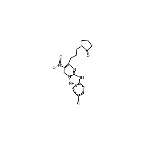 NN1CC([N+](=O)[O-])=C(CCCN2CCCC2=O)N=C1Nc1ccc(Cl)cc1